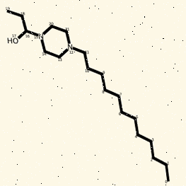 CCCCCCCCCCCCN1CCN(C(O)CC)CC1